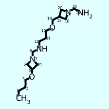 CCCCOC1CN(CNCCCOCC2CN(CN)C2)C1